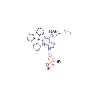 CON(CCCN)c1nc(C(c2ccccc2)(c2ccccc2)c2ccccc2)nc2c1ncn2COCP(=O)(OC(C)C)OC(C)C